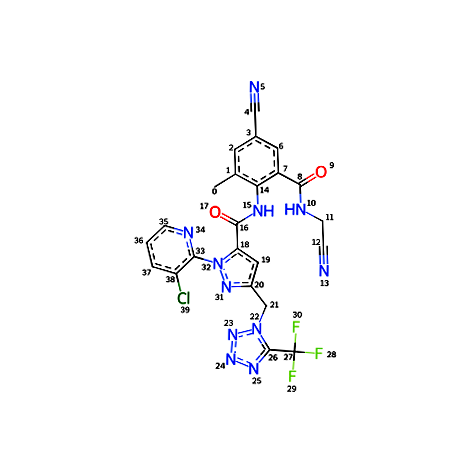 Cc1cc(C#N)cc(C(=O)NCC#N)c1NC(=O)c1cc(Cn2nnnc2C(F)(F)F)nn1-c1ncccc1Cl